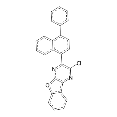 Clc1nc2c(nc1-c1ccc(-c3ccccc3)c3ccccc13)oc1ccccc12